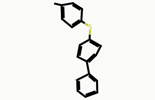 Cc1ccc(Sc2ccc(-c3[c]cccc3)cc2)cc1